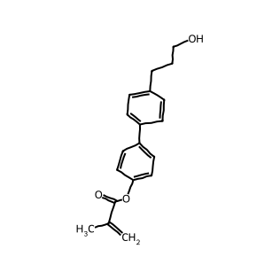 C=C(C)C(=O)Oc1ccc(-c2ccc(CCCO)cc2)cc1